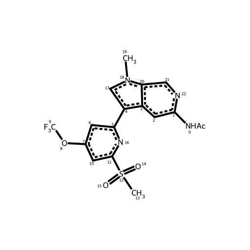 CC(=O)Nc1cc2c(-c3cc(OC(F)(F)F)cc(S(C)(=O)=O)n3)cn(C)c2cn1